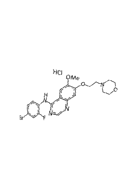 COc1cc2c(Nc3ccc(Br)cc3F)ncnc2cc1OCCN1CCOCC1.Cl